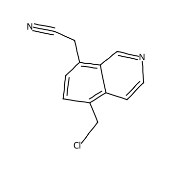 N#CCc1ccc(CCl)c2ccncc12